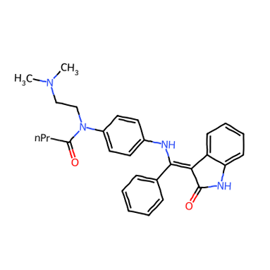 CCCC(=O)N(CCN(C)C)c1ccc(NC(=C2C(=O)Nc3ccccc32)c2ccccc2)cc1